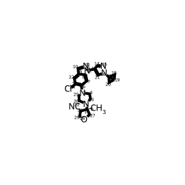 C[C@]1(N2CCN(c3cc4c(cnn4-c4cnn(C56CC5C6)c4)cc3Cl)CC2)COC[C@@H]1C#N